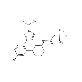 CC(C)n1cc(-c2cnc(Cl)cc2N2CCC[C@H](NC(=O)OC(C)(C)C)C2)cn1